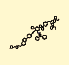 C=CC(=O)OCC(COC(=O)C=C)Cc1ccc(C(=O)Oc2cc(Cl)c(C#Cc3ccc(-c4ccc5cc(CCOCCOC)ccc5c4)cc3)c(/C=N/N(c3ccccc3)c3ccccc3)c2)cc1